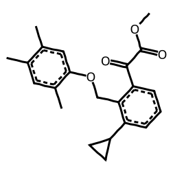 COC(=O)C(=O)c1cccc(C2CC2)c1COc1cc(C)c(C)cc1C